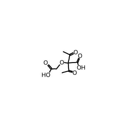 CC(=O)C(OCC(=O)O)(C(C)=O)C(=O)O